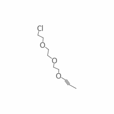 CC#COCCOCCOCCCl